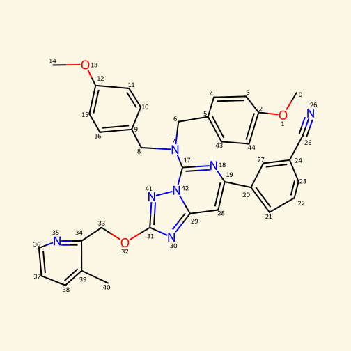 COc1ccc(CN(Cc2ccc(OC)cc2)c2nc(-c3cccc(C#N)c3)cc3nc(OCc4ncccc4C)nn23)cc1